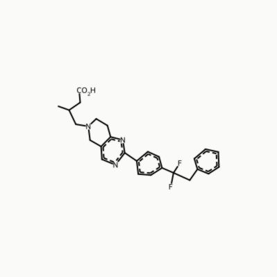 CC(CC(=O)O)CN1CCc2nc(-c3ccc(C(F)(F)Cc4ccccc4)cc3)ncc2C1